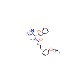 COc1cccc(CCCC(=O)N2CCc3[nH]cnc3[C@@H]2c2cc3ccccc3o2)c1